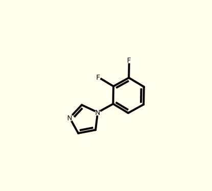 Fc1cccc(-n2ccnc2)c1F